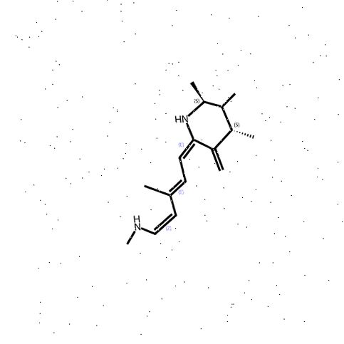 C=C1\C(=C/C=C(C)/C=C\NC)N[C@@H](C)C(C)[C@@H]1C